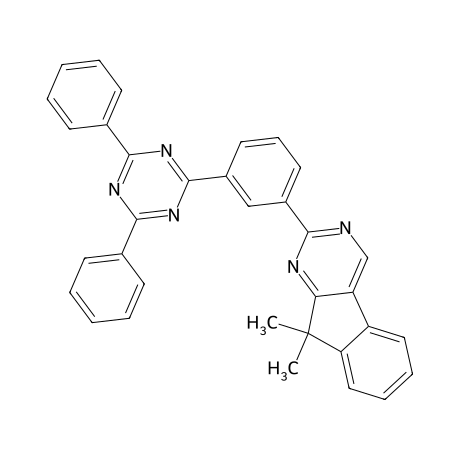 CC1(C)c2ccccc2-c2cnc(-c3cccc(-c4nc(-c5ccccc5)nc(-c5ccccc5)n4)c3)nc21